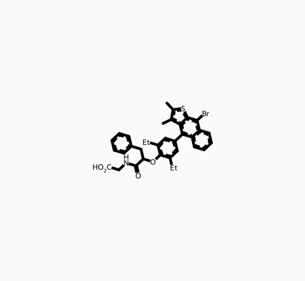 CCc1cc(-c2c3ccccc3c(Br)c3sc(C)c(C)c23)cc(CC)c1OC(Cc1ccccc1)C(=O)NCC(=O)O